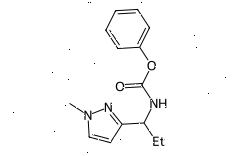 CCC(NC(=O)Oc1ccccc1)c1ccn(C)n1